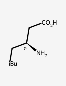 CCC(C)C[C@H](N)CC(=O)O